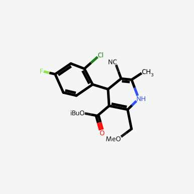 COCC1=C(C(=O)OCC(C)C)C(c2ccc(F)cc2Cl)C(C#N)=C(C)N1